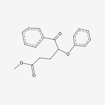 COC(=O)CCC(Oc1ccccc1)C(=O)c1ccccc1